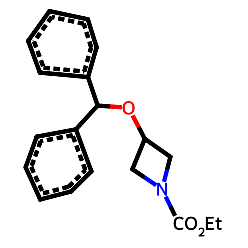 CCOC(=O)N1CC(OC(c2ccccc2)c2ccccc2)C1